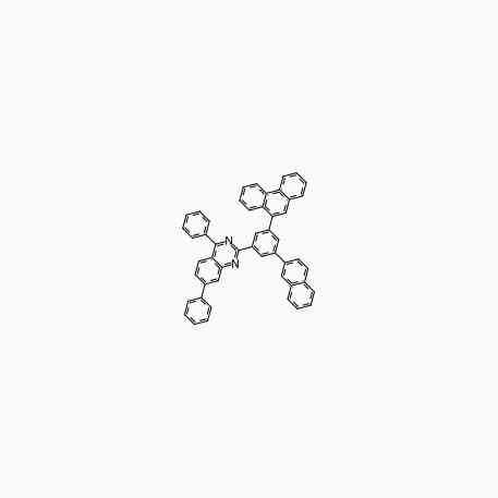 c1ccc(-c2ccc3c(-c4ccccc4)nc(-c4cc(-c5ccc6ccccc6c5)cc(-c5cc6ccccc6c6ccccc56)c4)nc3c2)cc1